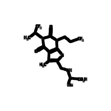 Cc1c(CNN(C(=O)O)C(C)(C)C)sc2c1c(=O)n(C(C)C(F)(F)F)c(=O)n2CCC(F)(F)F